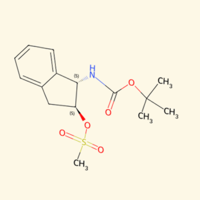 CC(C)(C)OC(=O)N[C@H]1c2ccccc2C[C@@H]1OS(C)(=O)=O